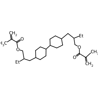 C=C(C)C(=O)OCC(CC)CC1CCC(C2CCC(CC(CC)COC(=O)C(=C)C)CC2)CC1